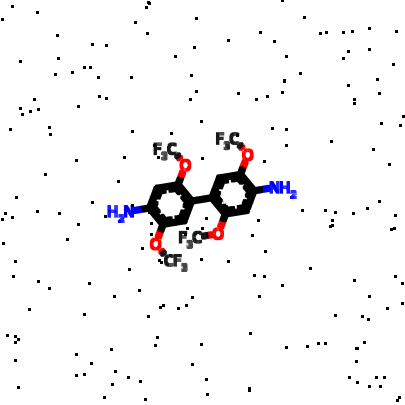 Nc1cc(OC(F)(F)F)c(-c2cc(OC(F)(F)F)c(N)cc2OC(F)(F)F)cc1OC(F)(F)F